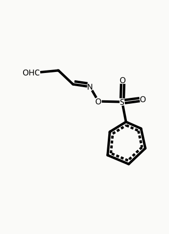 O=CCC=NOS(=O)(=O)c1ccccc1